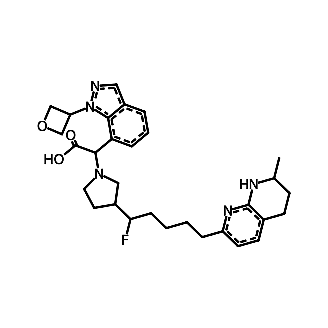 CC1CCc2ccc(CCCCC(F)C3CCN(C(C(=O)O)c4cccc5cnn(C6COC6)c45)C3)nc2N1